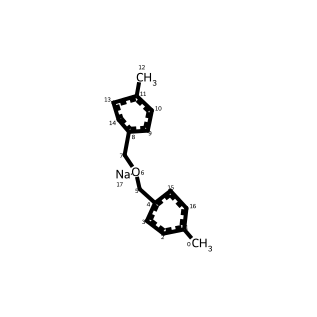 Cc1ccc(COCc2ccc(C)cc2)cc1.[Na]